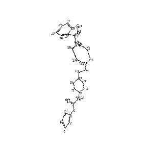 O=C(Cc1cccs1)NC1CCC(CCN2CCN(c3nsc4ccccc34)CC2)CC1